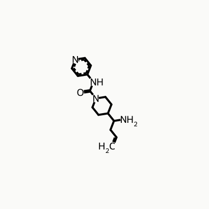 C=CCC(N)C1CCN(C(=O)Nc2ccncc2)CC1